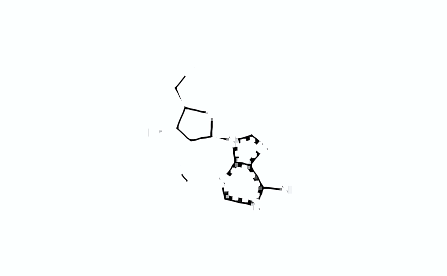 CO.Nc1ncnc2c1ncn2[C@H]1C[C@H](O)[C@@H](CO)O1